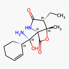 CC[C@H]1C(=O)N[C@@]2([C@@](N)(O)[C@@H]3C=CCCC3)C(=O)O[C@@]12C